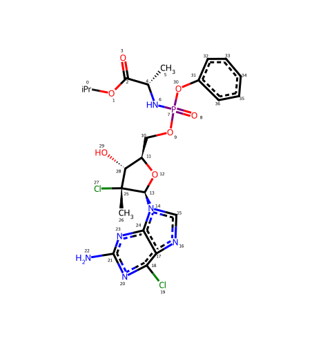 CC(C)OC(=O)[C@H](C)NP(=O)(OC[C@H]1O[C@@H](n2cnc3c(Cl)nc(N)nc32)[C@](C)(Cl)[C@@H]1O)Oc1ccccc1